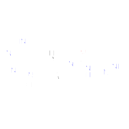 CN(c1ncnc2[nH]ccc12)[C@@H]1C[C@@H]2CN(C(=O)Nc3cc[nH]n3)C[C@@H]2C1